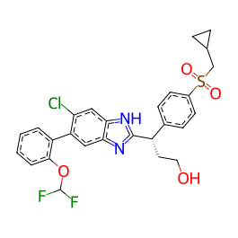 O=S(=O)(CC1CC1)c1ccc([C@H](CCO)c2nc3cc(-c4ccccc4OC(F)F)c(Cl)cc3[nH]2)cc1